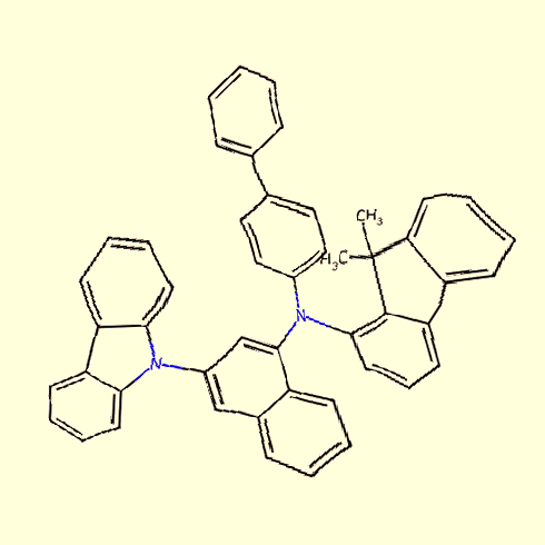 CC1(C)c2ccccc2-c2cccc(N(c3ccc(-c4ccccc4)cc3)c3cc(-n4c5ccccc5c5ccccc54)cc4ccccc34)c21